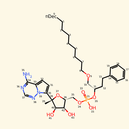 CCCCCCCCCCCCCCCCCCOC[C@H](CCc1ccccc1)OP(=O)(O)OC[C@H]1O[C@@](C)(c2ccc3c(N)ncnn23)[C@H](O)[C@@H]1O